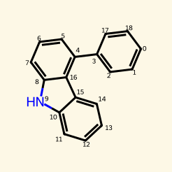 c1ccc(-c2cccc3[nH]c4ccccc4c23)cc1